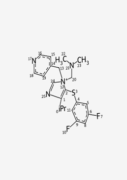 CC(C)C1=C(Sc2cc(F)cc(F)c2)[N+](Cc2ccncc2)(CN(C)C)C=N1